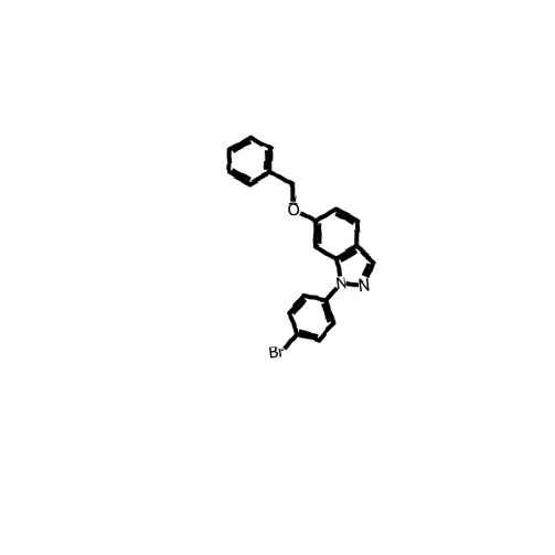 Brc1ccc(-n2ncc3ccc(OCc4ccccc4)cc32)cc1